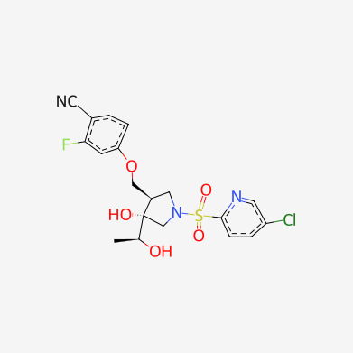 C[C@H](O)[C@]1(O)CN(S(=O)(=O)c2ccc(Cl)cn2)C[C@@H]1COc1ccc(C#N)c(F)c1